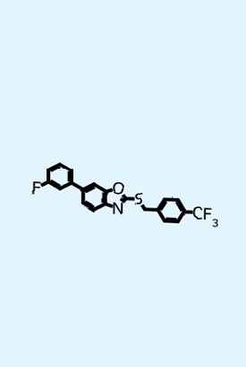 Fc1cccc(-c2ccc3nc(SCc4ccc(C(F)(F)F)cc4)oc3c2)c1